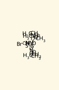 COc1cc(C(=O)Nc2sc3c(c2-c2nc4ccc(Br)cc4s2)CCN(C(=O)OC(C)(C)C)C3)ccc1NC(C)(C)C